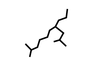 CCCC(CCCCC(C)C)CC(C)C